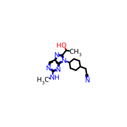 CNc1ncc2nc(C(C)O)n(C3CCC(CC#N)CC3)c2n1